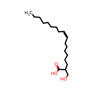 CCCCCCCC/C=C\CCCCCCC(CO)C(=O)O